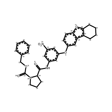 O=C(Nc1cc(Oc2ccc3oc4c(c3c2)CCCC4)cc([N+](=O)[O-])c1)C1CCCN1C(=O)OCc1ccccc1